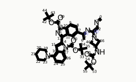 C=N/C=C(\N=C(/C)c1ccc2c(c1)c(-c1cc3c(N4CCCCC4)cccc3n1C(=O)OC(C)(C)C)nn2C(=O)OC(C)(C)C)N1CC(NC(=O)OC(C)(C)C)C1